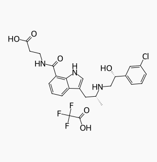 C[C@H](Cc1c[nH]c2c(C(=O)NCCC(=O)O)cccc12)NC[C@H](O)c1cccc(Cl)c1.O=C(O)C(F)(F)F